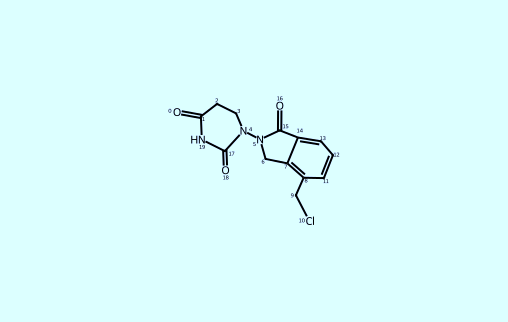 O=C1CCN(N2Cc3c(CCl)cccc3C2=O)C(=O)N1